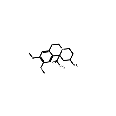 COc1cc2c(cc1OC)C1(C(N)=O)CC(N)[C]CN1CC2